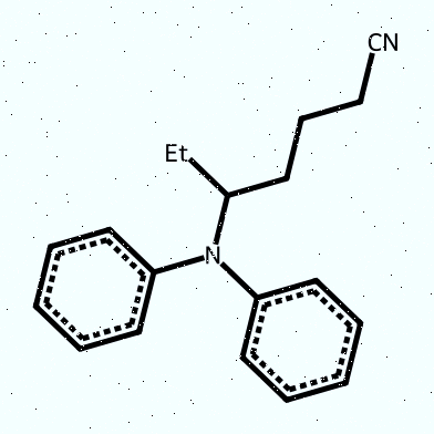 CCC(CCCC#N)N(c1ccccc1)c1ccccc1